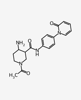 CC(=O)N1CCC(N)C(C(=O)Nc2ccc(-n3ccccc3=O)cc2)C1